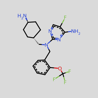 Nc1nc(N(Cc2ccccc2OC(F)(F)F)C[C@H]2CC[C@H](N)CC2)ncc1F